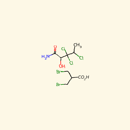 CC(Cl)C(Cl)(Cl)C(O)C(N)=O.O=C(O)C(CBr)CBr